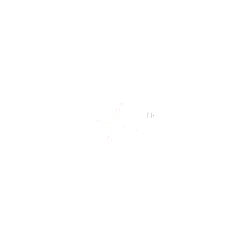 O=[N+]([O-])OS(=O)(=O)Cl